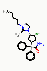 CCCCC[N+]1=C(C)N([C@@H]2CC[C@H](C(C(N)=O)(c3ccccc3)c3ccccc3)C2)CC1.[Br-]